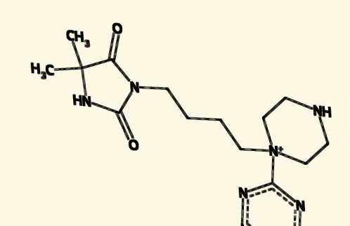 CC1(C)NC(=O)N(CCCC[N+]2(c3ncccn3)CCNCC2)C1=O